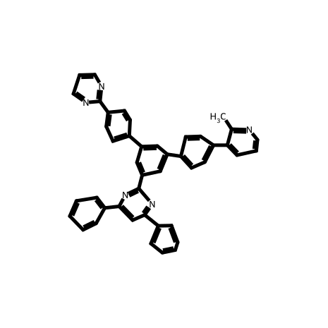 Cc1ncccc1-c1ccc(-c2cc(-c3ccc(-c4ncccn4)cc3)cc(-c3nc(-c4ccccc4)cc(-c4ccccc4)n3)c2)cc1